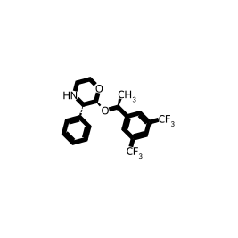 C[C@H](O[C@H]1OCCN[C@H]1c1ccccc1)c1cc(C(F)(F)F)cc(C(F)(F)F)c1